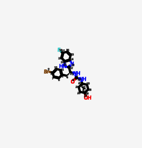 O=C(N[C@H](Cc1ccc(Br)cc1)c1nc2ccc(F)cc2[nH]1)NC12CCC(O)(CC1)CC2